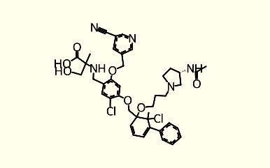 CC(=O)N[C@H]1CCN(CCCOC2(COc3cc(OCc4cncc(C#N)c4)c(CNC(C)(CO)C(=O)O)cc3Cl)C=CC=C(c3ccccc3)C2(C)Cl)C1